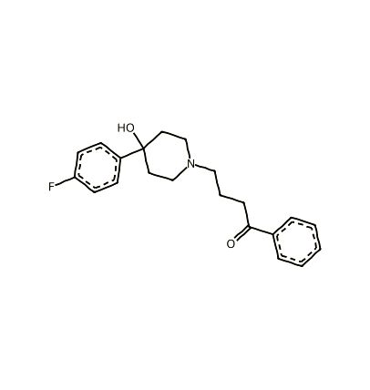 O=C(CCCN1CCC(O)(c2ccc(F)cc2)CC1)c1ccccc1